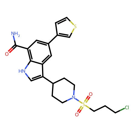 NC(=O)c1cc(-c2ccsc2)cc2c(C3CCN(S(=O)(=O)CCCCl)CC3)c[nH]c12